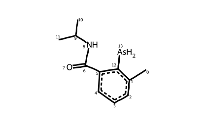 Cc1cccc(C(=O)NC(C)C)c1[AsH2]